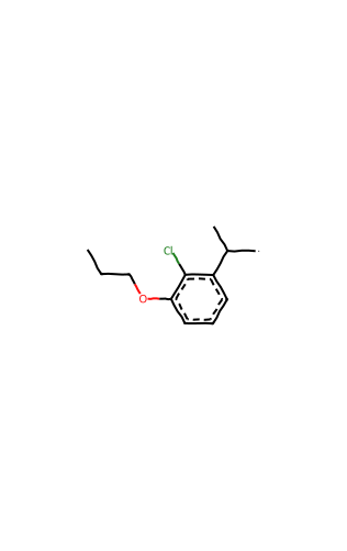 [CH2]C(C)c1cccc(OCCC)c1Cl